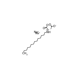 CCCCCCCCCCCCCCN[C@@H](CC(=O)[O-])C(=O)[O-].[Na+].[Na+]